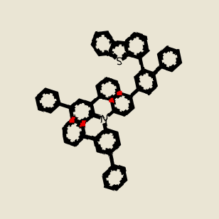 c1ccc(-c2ccc(N(c3ccc(-c4ccc(-c5ccccc5)c(-c5cccc6c5sc5ccccc56)c4)cc3)c3ccc(-c4ccccc4)cc3-c3ccccc3)c(-c3ccccc3)c2)cc1